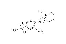 Cc1cc(C(C)(C)C)ccc1N1CC2(CCCCN2C)C1